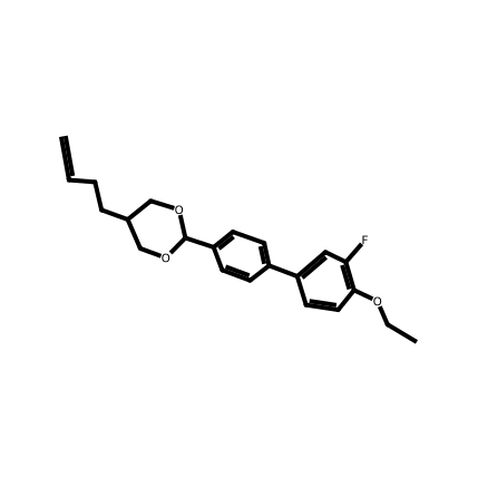 C=CCCC1COC(c2ccc(-c3ccc(OCC)c(F)c3)cc2)OC1